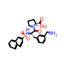 NCc1cccc(C[C@H](NS(=O)(=O)c2ccc3ccccc3c2)C(=O)N2CCC[C@H]2C(=O)O)c1